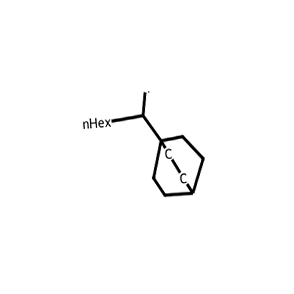 [CH2]C(CCCCCC)C12CCC(CC1)CC2